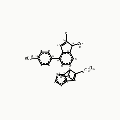 CC1=C2c3ccsc3C1[Si]2(C)C.CCCCc1ccc(-c2cccc3c2C=C(C)[CH]3[Zr+2])cc1.[Cl-].[Cl-]